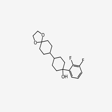 OC1(c2cccc(F)c2F)CCC(C2CCC3(CC2)OCCO3)CC1